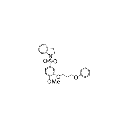 COc1ccc(S(=O)(=O)N2CCc3ccccc32)cc1OCCCOc1ccccc1